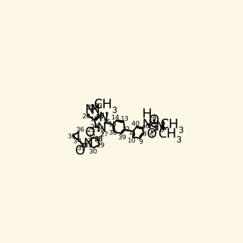 CN(C)S(=O)(=O)Nc1cccc(-c2ccc(-c3nc4c(cnn4C)c(=O)n3C[C@@H]3CCN(C(=O)C4CC4)C3)cc2)c1